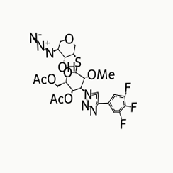 CO[C@@H]1[C@@H](n2cc(-c3cc(F)c(F)c(F)c3)nn2)[C@@H](OC(C)=O)[C@@H](COC(C)=O)O[C@H]1S[C@@H]1COC[C@H](N=[N+]=[N-])[C@H]1O